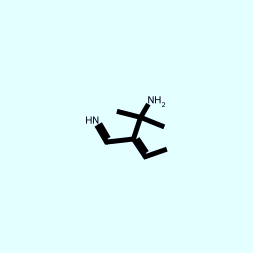 C/C=C(/C=N)C(C)(C)N